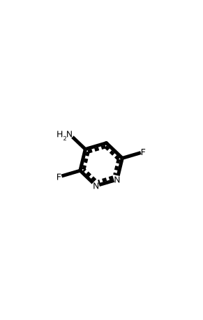 Nc1cc(F)nnc1F